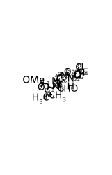 COC(=O)CC(CN(C)C)Cn1nc2c(c1C=O)CN(C(=O)Nc1ccc(F)c(Cl)c1)CC2